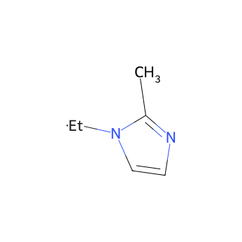 C[CH]n1ccnc1C